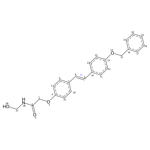 O=C(COc1ccc(/C=C/c2ccc(OCc3ccccc3)cc2)cc1)NCO